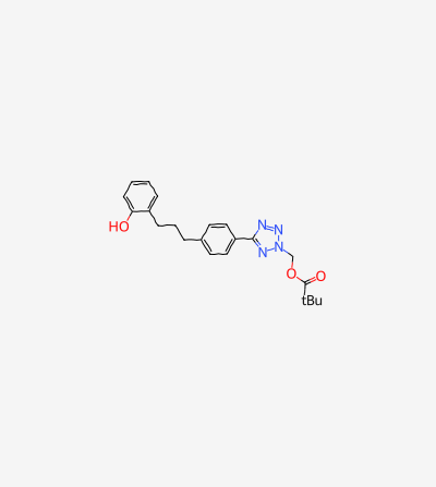 CC(C)(C)C(=O)OCn1nnc(-c2ccc(CCCc3ccccc3O)cc2)n1